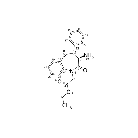 CCOC(=O)CN1C(=O)[C@H](N)[C@@H](c2ccccc2)Sc2ccccc21